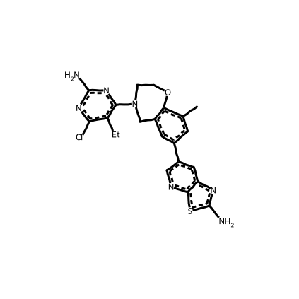 CCc1c(Cl)nc(N)nc1N1CCOc2c(C)cc(-c3cnc4sc(N)nc4c3)cc2C1